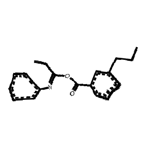 CCCc1cccc(C(=O)OC(CC)=Nc2ccccc2)c1